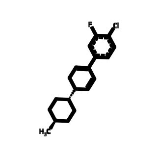 C[C@H]1CC[C@H](C2C=CC(c3ccc(Cl)c(F)c3)=CC2)CC1